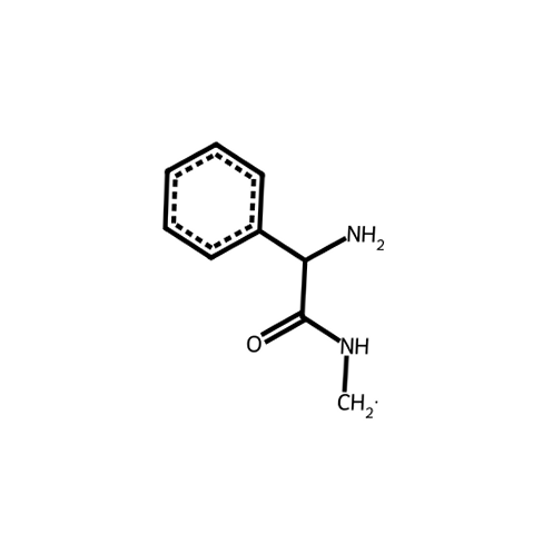 [CH2]NC(=O)C(N)c1ccccc1